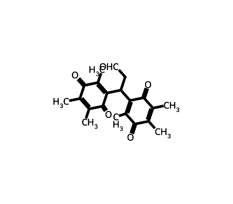 CC1=C(C)C(=O)C(C(CC=O)C2=C(C)C(=O)C(C)=C(C)C2=O)=C(C)C1=O